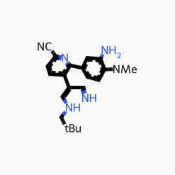 CNc1ccc(-c2nc(C#N)ccc2/C(C=N)=C/NCC(C)(C)C)cc1N